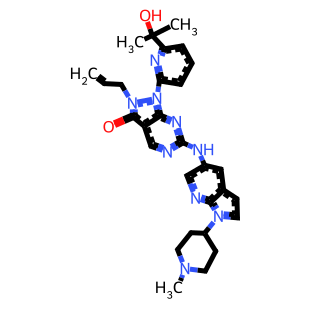 C=CCn1c(=O)c2cnc(Nc3cnc4c(ccn4C4CCN(C)CC4)c3)nc2n1-c1cccc(C(C)(C)O)n1